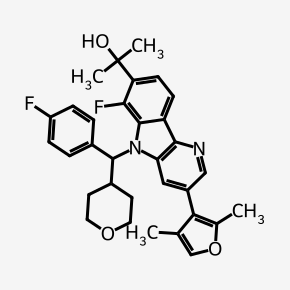 Cc1coc(C)c1-c1cnc2c3ccc(C(C)(C)O)c(F)c3n(C(c3ccc(F)cc3)C3CCOCC3)c2c1